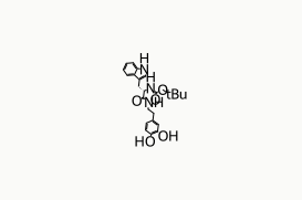 CC(C)(C)OC(=O)N[C@@H](Cc1c[nH]c2ccccc12)C(=O)NCCc1ccc(O)c(O)c1